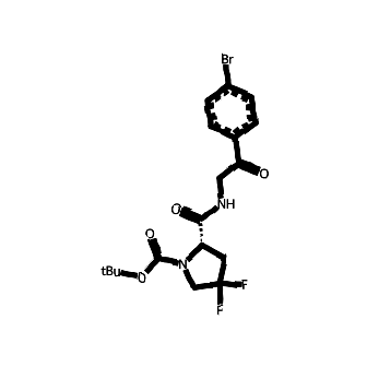 CC(C)(C)OC(=O)N1CC(F)(F)C[C@H]1C(=O)NCC(=O)c1ccc(Br)cc1